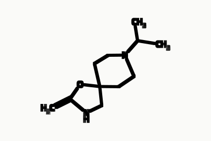 C=C1NCC2(CCN(C(C)C)CC2)O1